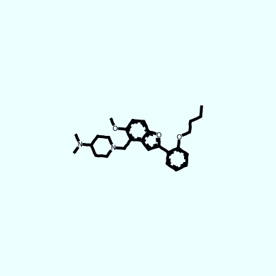 CCCCOc1ccccc1-c1cc2c(CN3CCC(N(C)C)CC3)c(OC)ccc2o1